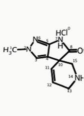 Cl.Cn1cc2c(n1)NC(=O)C21C=CCNC1